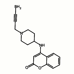 BC#CCN1CCC(Nc2cc(=O)oc3ccccc23)CC1